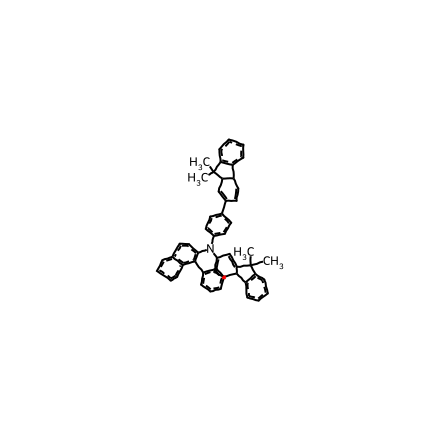 CC1(C)C2=CC(N(c3ccc(C4=CC5C(C=C4)c4ccccc4C5(C)C)cc3)c3ccc4ccccc4c3-c3ccccc3)=CCC2c2ccccc21